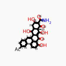 CC(=O)c1ccc(/C=C2\c3cccc(O)c3C(=O)C3=C(O)[C@@]4(C)C(=O)C(C(N)=O)=C(O)CC4C(O)C32)cc1